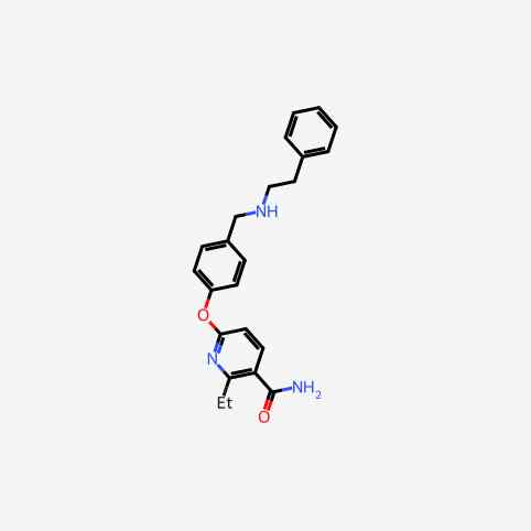 CCc1nc(Oc2ccc(CNCCc3ccccc3)cc2)ccc1C(N)=O